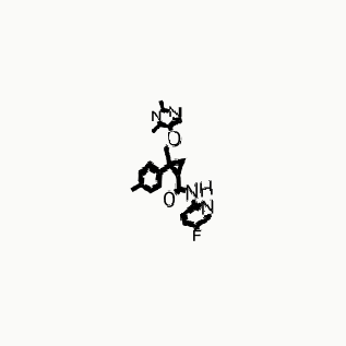 Cc1ccc(C2(COc3cnc(C)nc3C)CC2C(=O)Nc2ccc(F)cn2)cc1